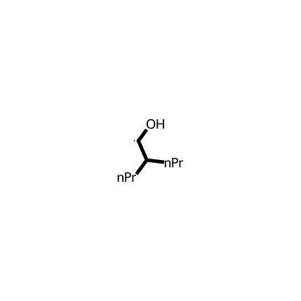 CCCC([CH]O)CCC